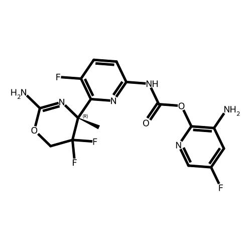 C[C@]1(c2nc(NC(=O)Oc3ncc(F)cc3N)ccc2F)N=C(N)OCC1(F)F